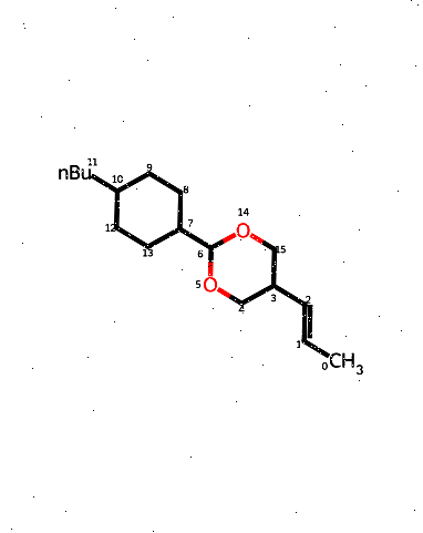 C/C=C/C1COC(C2CCC(CCCC)CC2)OC1